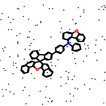 c1ccc(N(c2ccc(-c3ccc4c(c3)-c3ccccc3C43c4ccc5ccccc5c4Oc4c3ccc3ccccc43)cc2)c2cccc3oc4ccccc4c23)cc1